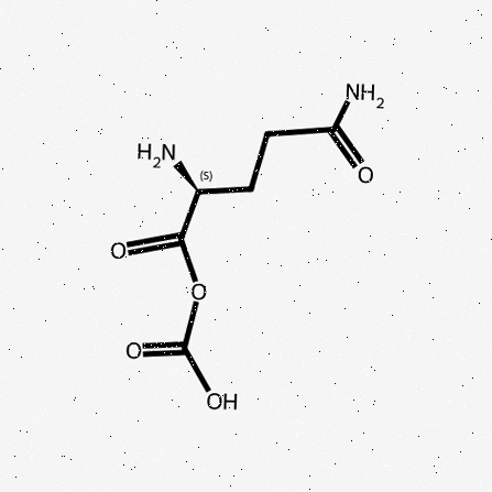 NC(=O)CC[C@H](N)C(=O)OC(=O)O